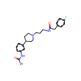 CC(C)C(=O)Nc1cccc(C2CCN(CCCNC(=O)Cc3ccc(F)cc3)CC2)c1